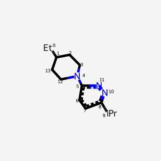 CCC1CCN(c2ccc(C(C)C)nn2)CC1